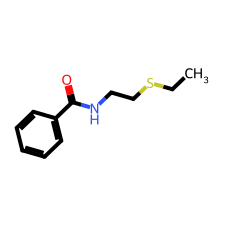 CCSCCNC(=O)c1ccccc1